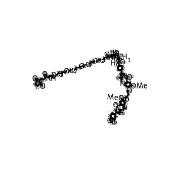 COc1cc2c(cc1OCCCOc1cc3c(cc1OC)C(=O)N1C=C(c4ccc5c(c4)OCO5)C[C@H]1C=N3)N=C[C@@H]1CC(c3ccc(NC(=O)[C@H](C)NC(=O)[C@H](NC(=O)CCOCCOCCOCCOCCOCCOCCOCCOCCNC(=O)CCN4C(=O)C=CC4=O)C(C)C)cc3)=CN1C2=O